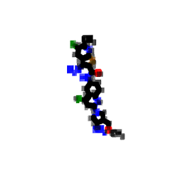 COCC1CN(c2cc(F)c3c(n2)CCC(NC(=O)c2sc4nc(C)c(F)cc4c2N)C3)CC1N